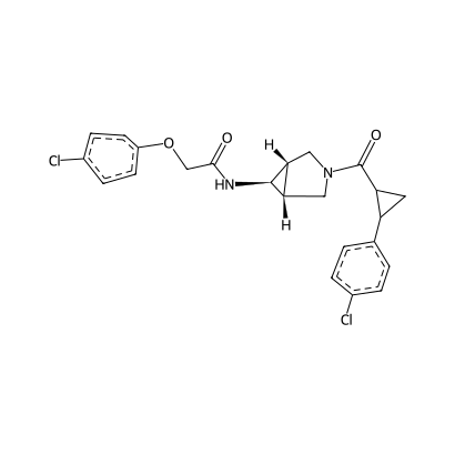 O=C(COc1ccc(Cl)cc1)N[C@H]1[C@@H]2CN(C(=O)C3CC3c3ccc(Cl)cc3)C[C@@H]21